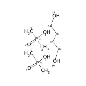 CP(C)(=O)O.CP(C)(=O)O.OCCCCO